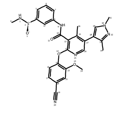 CN[S@+]([O-])c1cccc(NC(=O)c2c(Oc3ccc(C#N)cc3OC)ncc(-c3cn(C)nc3C)c2C)c1